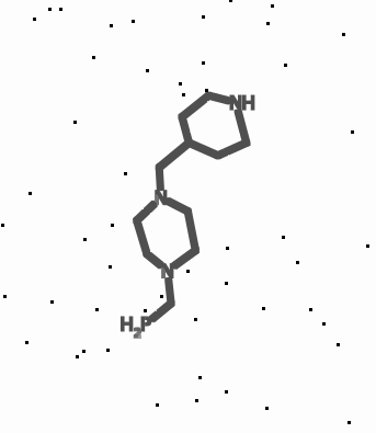 PCN1CCN(CC2CCNCC2)CC1